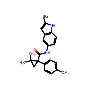 COc1ccc(C2(C(=O)Nc3ccc4[nH]c(C(C)(C)C)cc4c3)CC2(C)C)cc1